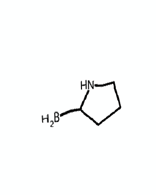 BC1CCCN1